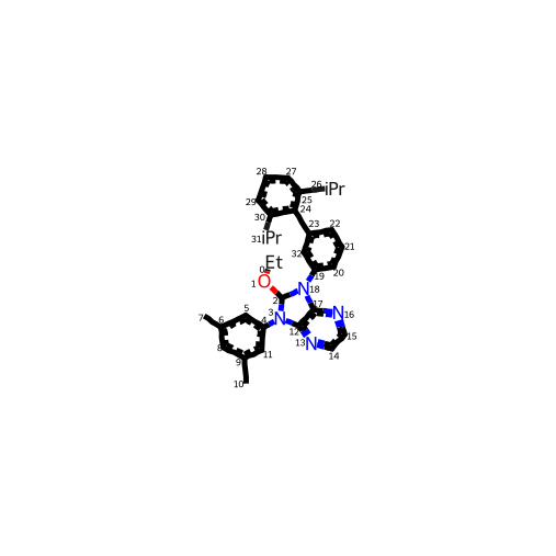 CCOC1N(c2cc(C)cc(C)c2)c2nccnc2N1c1cccc(-c2c(C(C)C)cccc2C(C)C)c1